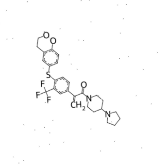 C=C(C(=O)N1CCC(N2CCCC2)CC1)c1ccc(Sc2ccc3c(c2)CCOO3)c(C(F)(F)F)c1